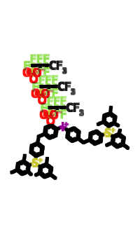 Cc1cc(C)c([S+](c2ccc(Cc3ccc([I+]c4ccc(Cc5ccc([S+](c6c(C)cc(C)cc6C)c6c(C)cc(C)cc6C)cc5)cc4)cc3)cc2)c2c(C)cc(C)cc2C)c(C)c1.O=S(=O)([O-])C(F)(F)C(F)(F)C(F)(F)C(F)(F)F.O=S(=O)([O-])C(F)(F)C(F)(F)C(F)(F)C(F)(F)F.O=S(=O)([O-])C(F)(F)C(F)(F)C(F)(F)C(F)(F)F